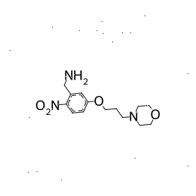 NCc1cc(OCCCN2CCOCC2)ccc1[N+](=O)[O-]